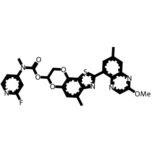 COc1cnc2c(-c3nc4c(C)cc5c(c4s3)OCC(OC(=O)N(C)c3ccnc(F)c3)O5)cc(C)cc2n1